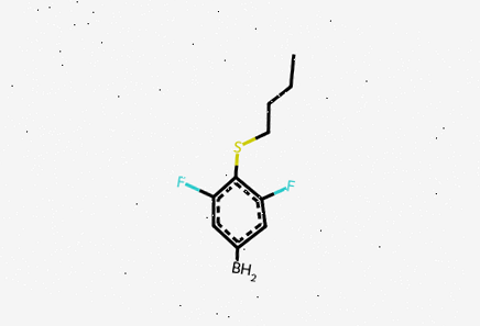 Bc1cc(F)c(SCCCC)c(F)c1